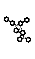 c1ccc(-c2ccc(N(c3ccc(-c4ccccc4)cc3)c3cccc4c3oc3ccc5c(c6ccccc6n5-c5ccccc5)c34)cc2)cc1